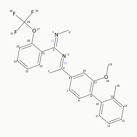 C/N=C(\N=C(/C)c1ccc(-c2ccccc2C)c(OC)c1)c1ccccc1OC(F)(F)F